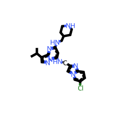 CC(C)c1cnn2c(NCc3cn4cc(Cl)ccc4n3)cc(NCC3CCNCC3)nc12